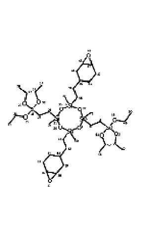 CCO[Si](CC[Si]1(C)O[Si](C)(CCC2CCC3OC3C2)O[Si](C)(CC[Si](OCC)(OCC)OCC)O[Si](C)(CCC2CCC3OC3C2)O1)(OCC)OCC